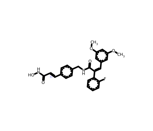 COc1cc(C=C(C(=O)NCc2ccc(/C=C/C(=O)NO)cc2)c2ccccc2F)cc(OC)c1